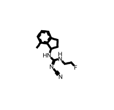 Cc1cccc2c1C(N/C(=N/C#N)NCCF)CC2